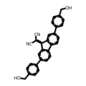 N#CC(C#N)=C1c2cc(-c3ccc(CO)cc3)ccc2-c2ccc(-c3ccc(CO)cc3)cc21